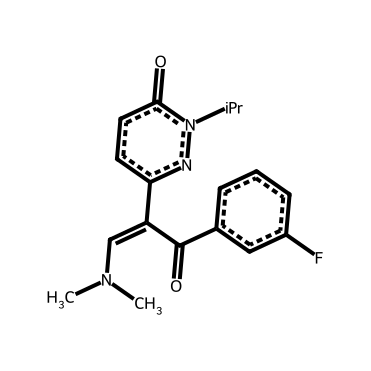 CC(C)n1nc(C(=CN(C)C)C(=O)c2cccc(F)c2)ccc1=O